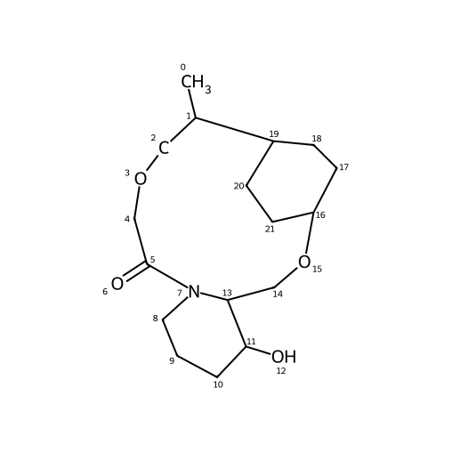 CC1COCC(=O)N2CCCC(O)C2COC2CCC1CC2